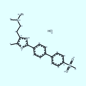 Cc1oc(-c2ccc(-c3ccc(S(C)(=O)=O)cc3)cc2)nc1CCN(C)C(C)C.Cl